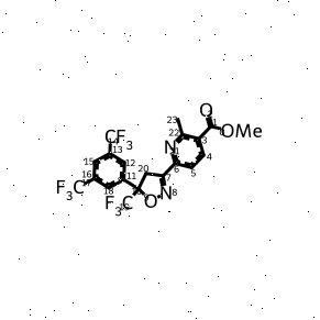 COC(=O)c1ccc(C2=NOC(c3cc(C(F)(F)F)cc(C(F)(F)F)c3)(C(F)(F)F)C2)nc1C